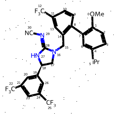 COc1ccc(C(C)C)cc1-c1ccc(C(F)(F)F)cc1CN1C[C@@H](c2cc(C(F)(F)F)cc(C(F)(F)F)c2)NC1=NC#N